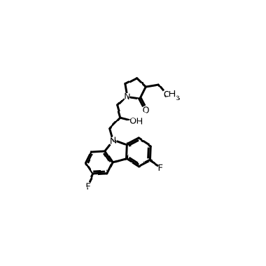 CCC1CCN(CC(O)Cn2c3ccc(F)cc3c3cc(F)ccc32)C1=O